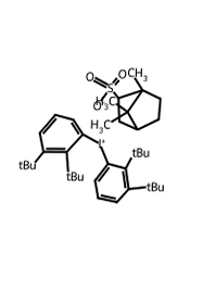 CC(C)(C)c1cccc([I+]c2cccc(C(C)(C)C)c2C(C)(C)C)c1C(C)(C)C.CC1(C)C2CCC1(C)C(S(=O)(=O)[O-])C2